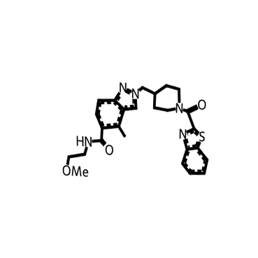 COCCNC(=O)c1ccc2nn(CC3CCN(C(=O)c4nc5ccccc5s4)CC3)cc2c1C